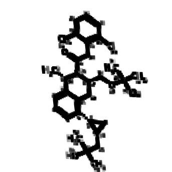 C[C@H]1c2cccc([C@@H]3C[C@H]3CC(C)(C)O)c2C[C@H](CO[Si](C)(C)C(C)(C)C)N1C(=O)Cc1c(Cl)cccc1Cl